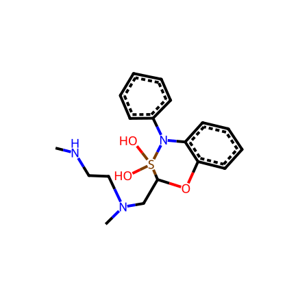 CNCCN(C)CC1Oc2ccccc2N(c2ccccc2)S1(O)O